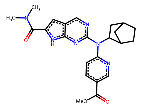 COC(=O)c1ccc(N(c2ncc3cc(C(=O)N(C)C)[nH]c3n2)C2CC3CCC2C3)nc1